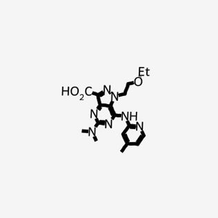 CCOCCn1nc(C(=O)O)c2nc(N(C)C)nc(Nc3cc(C)ccn3)c21